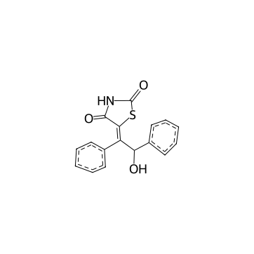 O=C1NC(=O)C(=C(c2ccccc2)C(O)c2ccccc2)S1